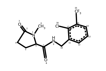 CN1C(=O)CCC1C(=O)NCc1cccc(C(F)(F)F)c1Cl